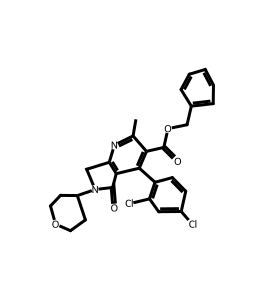 Cc1nc2c(c(-c3ccc(Cl)cc3Cl)c1C(=O)OCc1ccccc1)C(=O)N(C1CCOCC1)C2